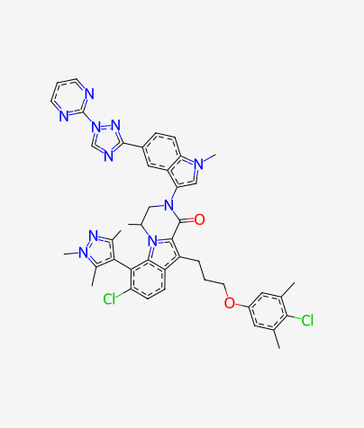 Cc1cc(OCCCc2c3n(c4c(-c5c(C)nn(C)c5C)c(Cl)ccc24)C(C)CN(c2cn(C)c4ccc(-c5ncn(-c6ncccn6)n5)cc24)C3=O)cc(C)c1Cl